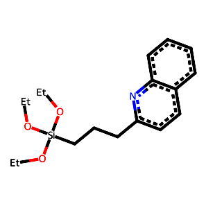 CCO[Si](CCCc1ccc2ccccc2n1)(OCC)OCC